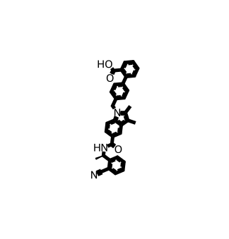 Cc1c(C)n(Cc2ccc(-c3ccccc3C(=O)O)cc2)c2ccc(C(=O)N[C@H](C)c3ccccc3C#N)cc12